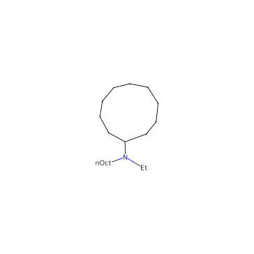 CCCCCCCCN(CC)C1CCCCCCCCC1